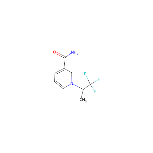 CC(N1C=CC=C(C(N)=O)C1)C(F)(F)F